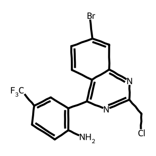 Nc1ccc(C(F)(F)F)cc1-c1nc(CCl)nc2cc(Br)ccc12